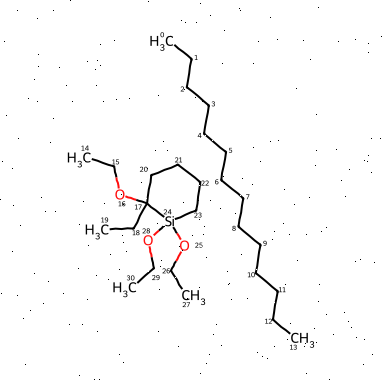 CCCCCCCCCCCCCC.CCOC1(CC)CCCC[Si]1(OCC)OCC